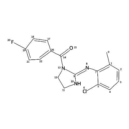 Cc1cccc(Cl)c1N=C1NCCN1C(=O)c1ccc(F)cc1